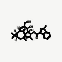 CC1=CC23C(=O)[C@@H](C=C(CO)[C@@H](O)[C@]2(O)[C@H]1OC(=O)c1nn(C)c2ccccc12)[C@H]1[C@@H](CC3C)C1(C)C